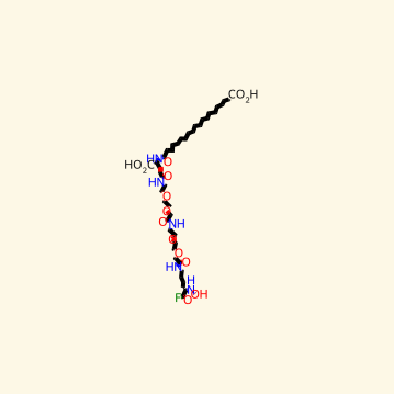 O=C(O)CCCCCCCCCCCCCCCCCCC(=O)N[C@@H](CCC(=O)NCCOCCOCC(=O)NCCOCCOCC(=O)NCCCC[C@H](NO)C(=O)F)C(=O)O